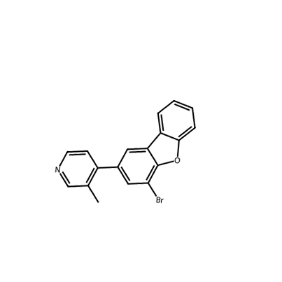 Cc1cnccc1-c1cc(Br)c2oc3ccccc3c2c1